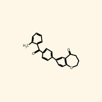 Cc1ccccc1C(=O)c1ccc(-c2ccc3c(c2)C(=O)CCCO3)cc1